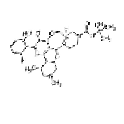 CC1CN(C)CCC1c1nc(-c2c(O)cccc2F)c(Cl)c2c1C(=O)N1CCN(C(=O)OC(C)(C)C)C[C@@H]1CO2